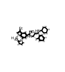 CCc1cn(C)c2c(N3CCCC3=O)cc(C(=O)N[C@@H](Cc3ccccc3)[C@@H](O)CNC3CCCCC3)cc12